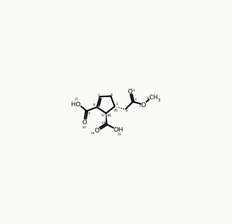 COC(=O)C[C@H]1CC=C(C(=O)O)[C@@H]1C(=O)O